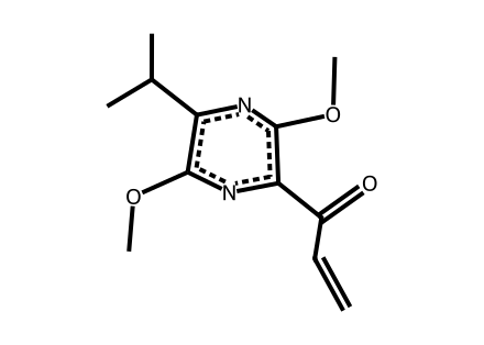 C=CC(=O)c1nc(OC)c(C(C)C)nc1OC